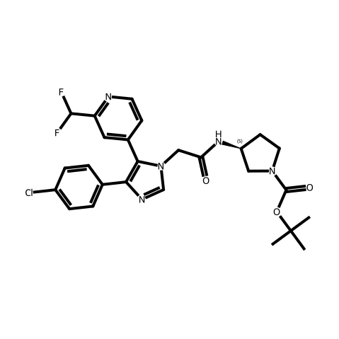 CC(C)(C)OC(=O)N1CC[C@H](NC(=O)Cn2cnc(-c3ccc(Cl)cc3)c2-c2ccnc(C(F)F)c2)C1